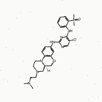 CN(C)CCN1CCN2c3ccc(Nc4ncc(Cl)c(Nc5ccccc5P(C)(C)=O)n4)cc3OC[C@H]2C1